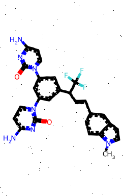 Cn1ccc2cc(/C=C/C(c3cc(-n4ccc(N)nc4=O)cc(-n4ccc(N)nc4=O)c3)C(F)(F)F)ccc21